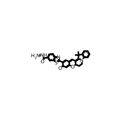 CC1(C)C2=C3C=C4C=C(c5nc6ccc(C(=O)NN)cc6s5)C(=O)C=C4OC3CCN2c2ccccc21